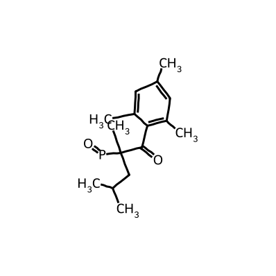 Cc1cc(C)c(C(=O)C(C)(CC(C)C)P=O)c(C)c1